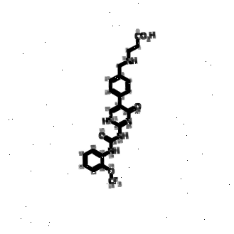 O=C(O)CCNCc1ccc(-c2c[nH]c(NC(=O)Nc3ccccc3OC(F)(F)F)nc2=O)cc1